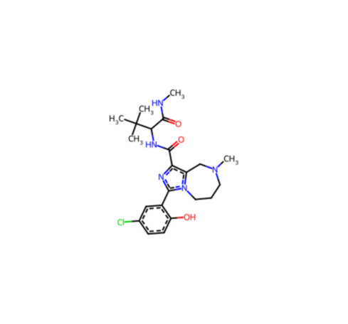 CNC(=O)C(NC(=O)c1nc(-c2cc(Cl)ccc2O)n2c1CN(C)CCC2)C(C)(C)C